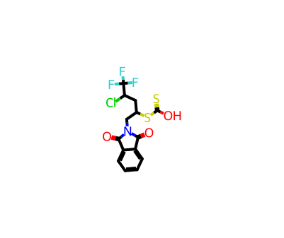 O=C1c2ccccc2C(=O)N1CC(CC(Cl)C(F)(F)F)SC(O)=S